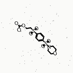 O=C(Cl)OCCS(=O)(=O)c1ccc(S(=O)(=O)N2CCOCC2)cc1